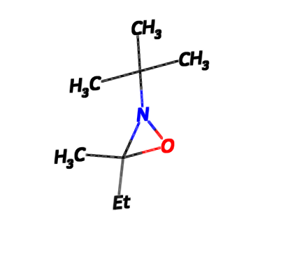 CCC1(C)ON1C(C)(C)C